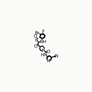 N#Cc1cncc(NC(=O)N2CCC(C(=O)/C(=N/C=O)Nc3ccc(F)c(Br)c3)CC2)c1